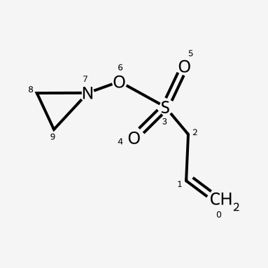 C=CCS(=O)(=O)ON1CC1